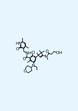 CCN(c1cc(C2(C)C=C(N(C)C(=O)CCO)C2(C)C)c(Cl)c(C(=O)NCc2c(C)cc(C)[nH]c2=O)c1C)C1CCOCC1